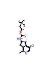 Cc1ncc(Cl)c2c1CC(NC(=O)OCC[Si](C)(C)C)C2